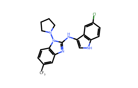 FC(F)(F)c1ccc2c(c1)nc(Nc1c[nH]c3ccc(Cl)cc13)n2N1CCCC1